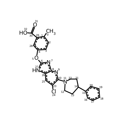 Cc1ccc(Oc2nc3nc(N4CCC(c5ccccc5)CC4)c(Cl)cc3[nH]2)cc1C(=O)O